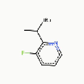 CC(c1ncccc1F)C(C)(C)C